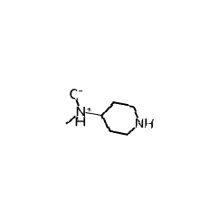 [CH2-][NH+](C)C1CCNCC1